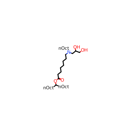 CCCCCCCCC(CCCCCCCC)OC(=O)CCCCCCCN(CCCCCCCC)CC(O)CO